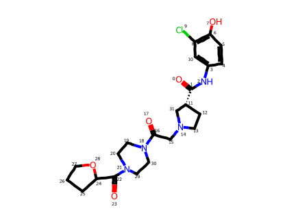 O=C(Nc1ccc(O)c(Cl)c1)[C@@H]1CCN(CC(=O)N2CCN(C(=O)C3CCCO3)CC2)C1